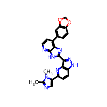 Cc1ncc(-c2ccc3[nH]nc(-c4nc5c(-c6ccc7c(c6)OCO7)ccnc5[nH]4)c3n2)n1C